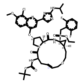 CCOP(=O)(Cc1c(F)cccc1F)[C@@]12C[C@H]1CCOC/C=C/CC(NC(=O)OC(C)(C)C)C(=O)N1C[C@H](Oc3cc(-c4csc(NC(C)C)n4)nc4c(Cl)c(OC)ccc34)C[C@H]1C(=O)N2